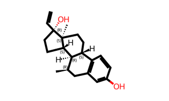 C=C[C@]1(O)CC[C@H]2[C@@H]3[C@H](C)Cc4cc(O)ccc4[C@H]3CC[C@@]21C